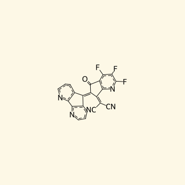 N#CC(C#N)=C1C(=C2c3cccnc3-c3ncccc32)C(=O)c2c1nc(F)c(F)c2F